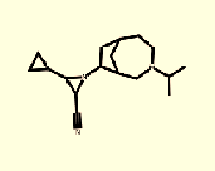 CC(C)N1CCC2CC(C1)C(N1C(C#N)C1C1CC1)C2